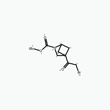 CC(C)(C)OC(=O)N1CC2(C(=O)CBr)CC1C2